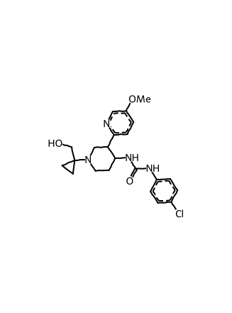 COc1ccc(C2CN(C3(CO)CC3)CCC2NC(=O)Nc2ccc(Cl)cc2)nc1